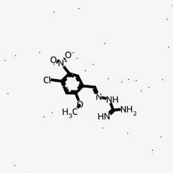 COc1cc(Cl)c([N+](=O)[O-])cc1C=NNC(=N)N